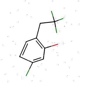 Oc1cc(Br)ccc1CC(F)(F)F